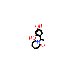 CC(c1ccc(O)cc1O)N1CCCCCC1=O